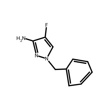 Nc1nn(Cc2ccccc2)cc1F